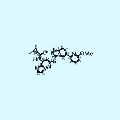 COc1cccc(-c2ccc3nnc(Sc4cc(NC(=O)C5CC5)c5nccn5n4)n3c2)n1